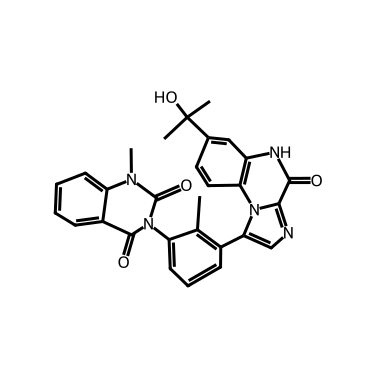 Cc1c(-c2cnc3c(=O)[nH]c4cc(C(C)(C)O)ccc4n23)cccc1-n1c(=O)c2ccccc2n(C)c1=O